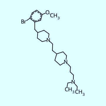 CCN(CC)CCCN1CCC(CCN2CCC(Cc3cc(OC)ccc3Br)CC2)CC1